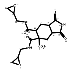 N=C(NCC1CO1)C1(C(=O)O)CC2C(=O)NC(=O)C2CC1C(=O)NCC1CO1